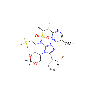 COc1cnc([C@@H](C)[C@H](C)S(=O)(=O)N(CCS(C)(C)C)c2nnc(-c3ccccc3Br)n2C2COC(C)(C)OC2)nc1